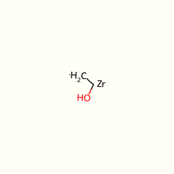 [CH2]CO.[Zr]